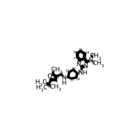 Cc1oc(C(C)(C)C)cc1CN[C@H]1CC[C@@H](Nc2nc(N(C)C)c3ccccc3n2)CC1